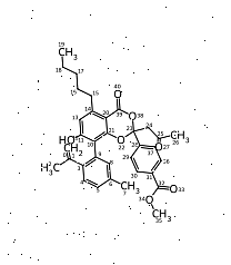 C=C(C)c1ccc(C)cc1-c1c(O)cc(CCCCC)c2c1OC(CC(C)=O)(c1ccc(C(=O)OC)cc1)OC2=O